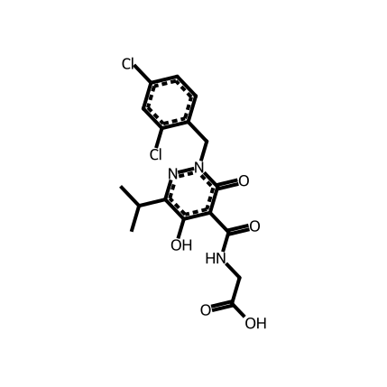 CC(C)c1nn(Cc2ccc(Cl)cc2Cl)c(=O)c(C(=O)NCC(=O)O)c1O